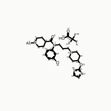 CC(=O)N1CCC(C(=O)N(CCCN2CCC(Oc3nccs3)CC2)c2cccc(Cl)c2)CC1.O=C(O)C(F)(F)F